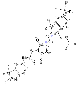 CC1=Nc2ccc(NC(=O)CN3C(=O)/C(=C\C=C4/N(CCC(C)C)c5ccc(C(F)(F)F)cc5C4(C)C)SC3=S)cc2C1(C)C